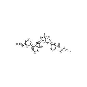 CCC(=O)Nc1cncc(-c2ccc3[nH]nc(-c4nc5c(-c6cccc(OC)c6)nccc5[nH]4)c3n2)c1